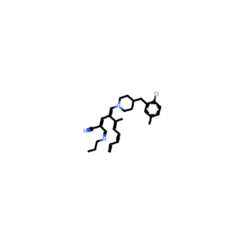 C=C\C=C/C=C(C)/C(=C\N1CCC(Cc2cc(C)ccc2Cl)CC1)/C=C(C#N)\C=N/CCC